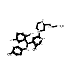 O=C(O)NCC1CN(c2cc(C(Sc3ccc(Cl)cc3)c3cc(F)ccc3F)c(Cl)cn2)CCO1